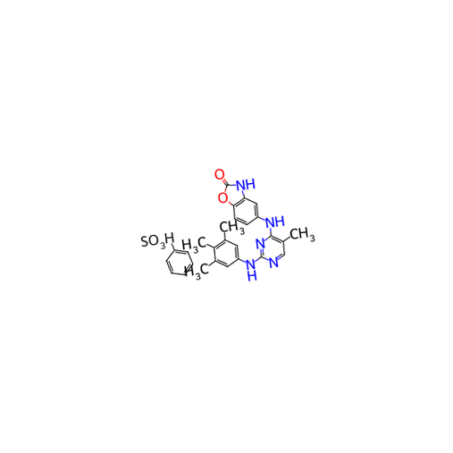 Cc1cnc(Nc2cc(C)c(C)c(C)c2)nc1Nc1ccc2oc(=O)[nH]c2c1.O=S(=O)(O)c1ccccc1